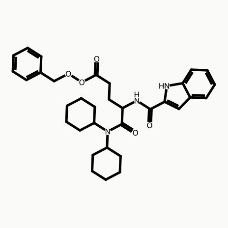 O=C(CCC(NC(=O)c1cc2ccccc2[nH]1)C(=O)N(C1CCCCC1)C1CCCCC1)OOCc1ccccc1